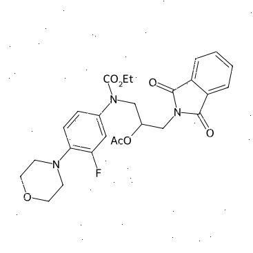 CCOC(=O)N(CC(CN1C(=O)c2ccccc2C1=O)OC(C)=O)c1ccc(N2CCOCC2)c(F)c1